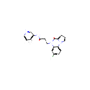 COc1ccncc1NC(=O)CCn1c(=O)c2cccn2c2ccc(F)cc21